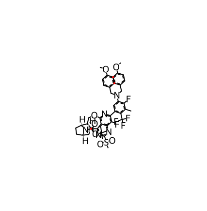 COc1ccc(CN(Cc2ccc(OC)cc2)c2cc(-c3nc4c5c(nc(S(C)(=O)=O)nc5c3F)N3C[C@H]5CC[C@@H]([C@H]3CO4)N5C(=O)OC(C)(C)C)c(C(F)(F)F)c(C)c2F)cc1